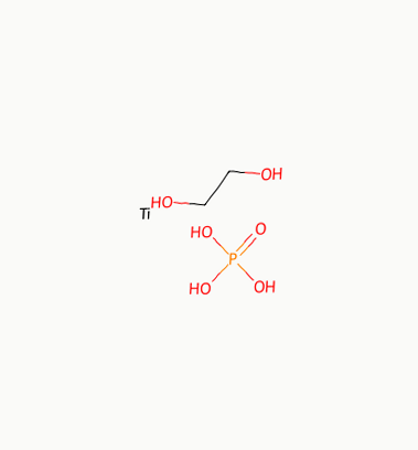 O=P(O)(O)O.OCCO.[Ti]